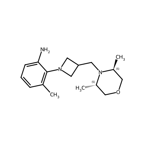 Cc1cccc(N)c1N1CC(CN2[C@@H](C)COC[C@@H]2C)C1